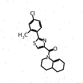 Cc1cc(Cl)ccc1-c1nc(C(=O)N2CCCC3CCCC=C32)cs1